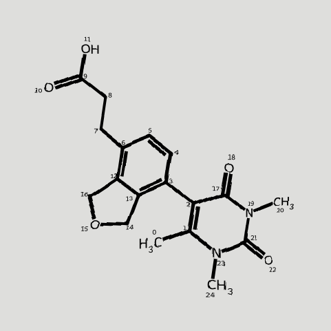 Cc1c(-c2ccc(CCC(=O)O)c3c2COC3)c(=O)n(C)c(=O)n1C